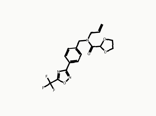 C=CCN(Cc1ccc(-c2noc(C(F)(F)F)n2)cc1)C(=O)C1OCCO1